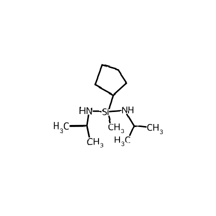 CC(C)N[Si](C)(NC(C)C)C1CCCC1